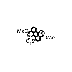 COC(=O)c1cccc2c(Cl)c3c(C(=O)OC)ccc(S(=O)(=O)O)c3c(Cl)c12